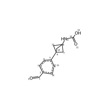 O=Cc1ccc(C23CC(NC(=O)O)(C2)C3)nc1